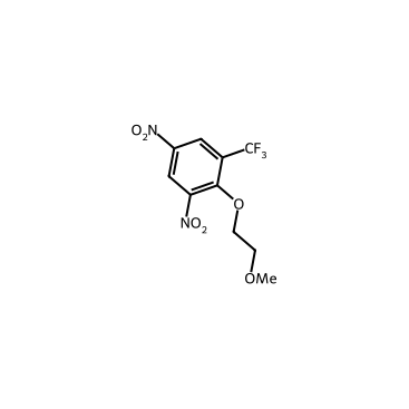 COCCOc1c([N+](=O)[O-])cc([N+](=O)[O-])cc1C(F)(F)F